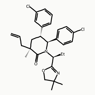 C=CC[C@@]1(C)C[C@H](c2cccc(Cl)c2)[C@@H](c2ccc(Cl)cc2)N([C@@H](CC)C2=NC(C)(C)CO2)C1=O